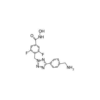 NCc1ccc(-c2nnn(Cc3c(F)cc(C(=O)NO)cc3F)n2)cc1